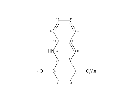 COC1C=CC(=O)C2=C1C=C1C=CC=CC1N2